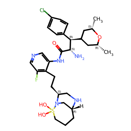 C[C@@H]1CC([C@H](c2ccc(Cl)cc2)[C@H](N)C(=O)Nc2cncc(F)c2CC[C@H]2CN[C@@H]3CCCS(O)(O)N2C3)C[C@H](C)O1